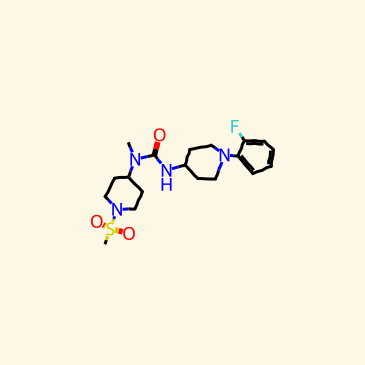 CN(C(=O)NC1CCN(c2ccccc2F)CC1)C1CCN(S(C)(=O)=O)CC1